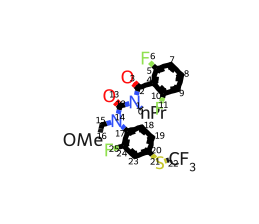 CCCN(C(=O)c1c(F)cccc1F)C(=O)N(COC)c1ccc(SC(F)(F)F)cc1F